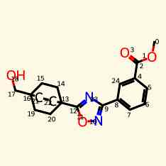 COC(=O)c1cccc(-c2noc(C34CCC(CO)(CC3)CC4)n2)c1